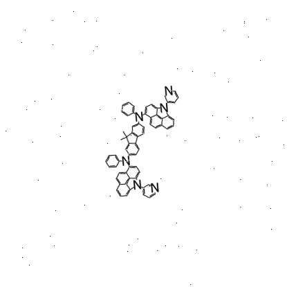 CC1(C)c2cc(N(c3ccccc3)c3ccc4c5c3ccc3cccc(c35)n4-c3cccnc3)ccc2-c2ccc(N(c3ccccc3)c3ccc4c5c3ccc3cccc(c35)n4-c3cccnc3)cc21